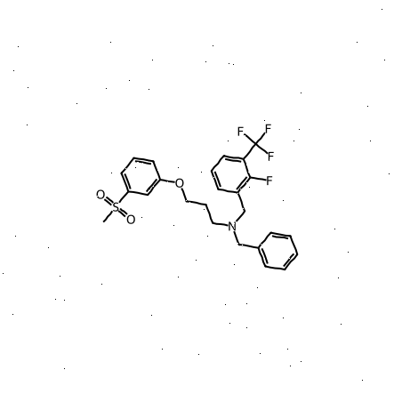 CS(=O)(=O)c1cccc(OCCCN(Cc2ccccc2)Cc2cccc(C(F)(F)F)c2F)c1